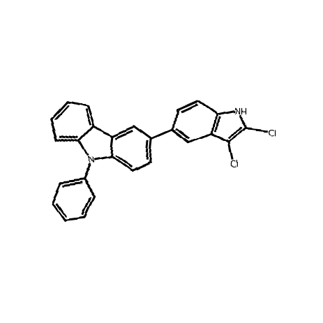 Clc1[nH]c2ccc(-c3ccc4c(c3)c3ccccc3n4-c3ccccc3)cc2c1Cl